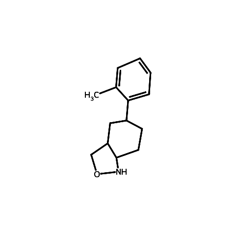 Cc1ccccc1C1CCC2NOCC2C1